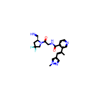 C/C(=C\c1cnn(C)c1)c1cnccc1C(=O)NCC(=O)N1CC(F)(F)C[C@H]1C=N